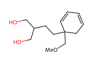 COCC1(CCC(CO)CO)C=CC=CC1